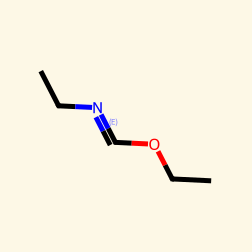 CC/N=C/OCC